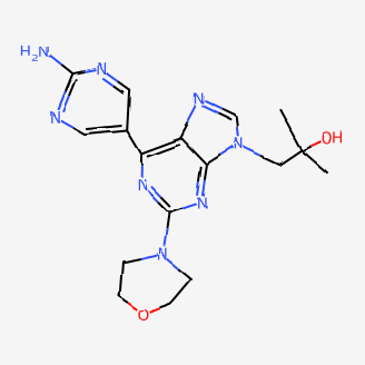 CC(C)(O)Cn1cnc2c(-c3cnc(N)nc3)nc(N3CCOCC3)nc21